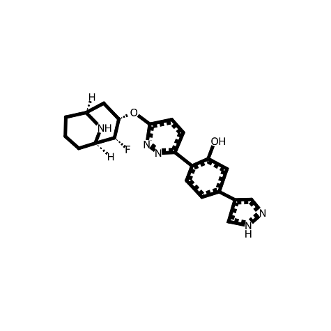 Oc1cc(-c2cn[nH]c2)ccc1-c1ccc(O[C@H]2C[C@@H]3CCC[C@@H](N3)[C@H]2F)nn1